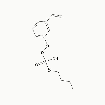 CCCCOP(=O)(O)OOc1cccc(C=O)c1